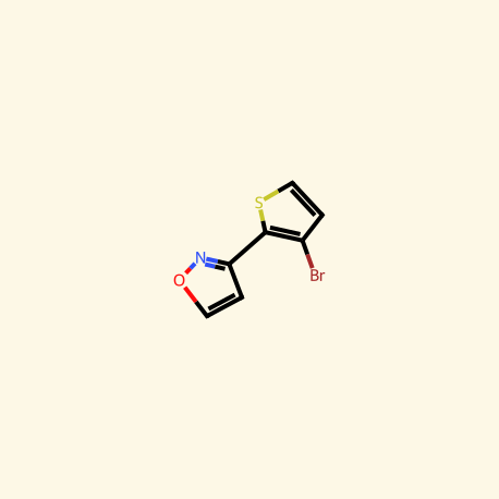 Brc1ccsc1-c1ccon1